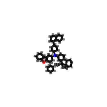 CC1(C)c2ccccc2-c2ccc(N(c3ccc(-c4cccc5ccccc45)cc3)c3cc(-c4ccccc4)c4oc5ccccc5c4c3)cc21